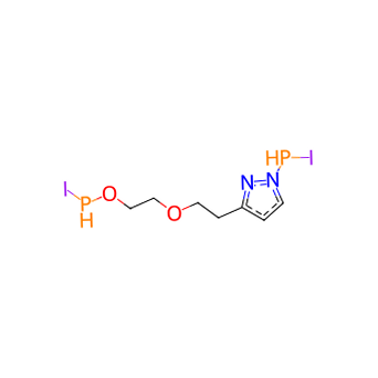 IPOCCOCCc1ccn(PI)n1